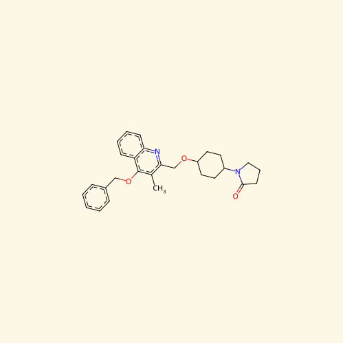 Cc1c(COC2CCC(N3CCCC3=O)CC2)nc2ccccc2c1OCc1ccccc1